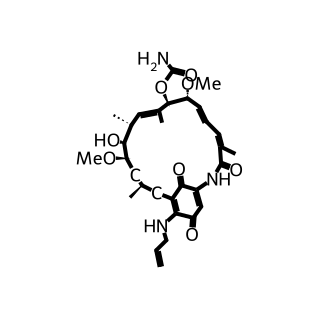 C=CCNC1=C2C[C@@H](C)C[C@@H](OC)[C@@H](O)[C@H](C)/C=C(\C)[C@@H](OC(N)=O)[C@H](OC)/C=C/C=C(/C)C(=O)NC(=CC1=O)C2=O